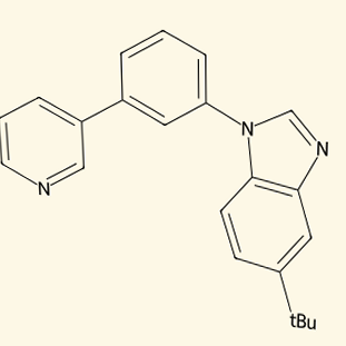 CC(C)(C)c1ccc2c(c1)ncn2-c1cccc(-c2cccnc2)c1